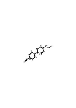 CCOc1cnc(-c2ccc(C#N)cc2)nc1